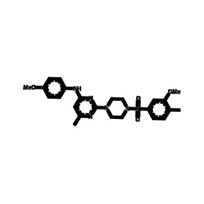 COc1ccc(Nc2cc(C)nc(N3CCN(S(=O)(=O)c4ccc(C)c(OC)c4)CC3)n2)cc1